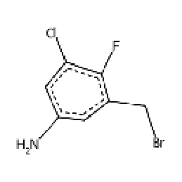 Nc1cc(Cl)c(F)c(CBr)c1